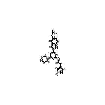 CN(C)Cc1ccc2nn(-c3cc(N4CCOCC4)nc(OCCc4cnn(C)c4)n3)cc2c1